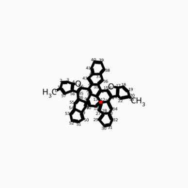 Cc1ccc2oc(-c3c4ccccc4c(-c4oc5ccc(C)cc5c4-c4ccc5ccccc5c4)c4cc5ccccc5cc34)c(-c3ccc4ccccc4c3)c2c1